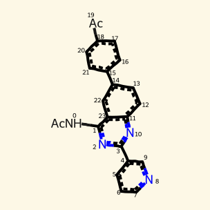 CC(=O)Nc1nc(-c2cccnc2)nc2ccc(-c3ccc(C(C)=O)cc3)cc12